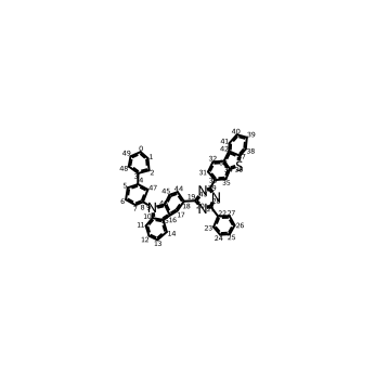 c1ccc(-c2cccc(-n3c4ccccc4c4cc(-c5nc(-c6ccccc6)nc(-c6ccc7c(c6)sc6ccccc67)n5)ccc43)c2)cc1